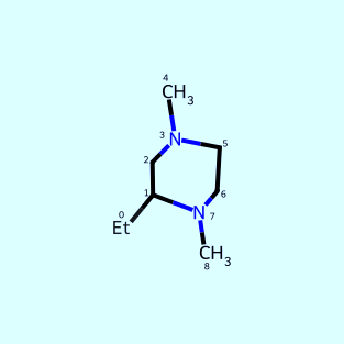 CCC1CN(C)CCN1C